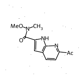 CON(C)C(=O)c1cc2ccc(C(C)=O)nc2[nH]1